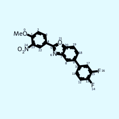 COc1ccc(-c2nc3cc(-c4ccc(F)c(F)c4)ccc3o2)cc1[N+](=O)[O-]